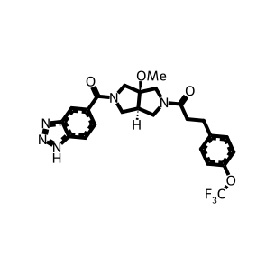 CO[C@@]12CN(C(=O)CCc3ccc(OC(F)(F)F)cc3)C[C@H]1CN(C(=O)c1ccc3[nH]nnc3c1)C2